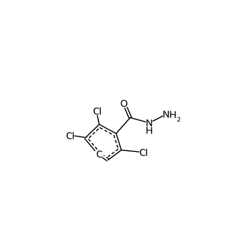 NNC(=O)c1c(Cl)ccc(Cl)c1Cl